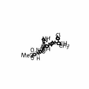 COC(=O)[C@H]1CC[C@H](CNc2ccc(S(=O)(=O)NC(=O)c3ccc(N4CCN(CC5=C(c6ccc(Cl)cc6)CC(C)(C)CC5)CC4)cc3Oc3cnc4[nH]ccc4c3)cc2[N+](=O)[O-])CC1